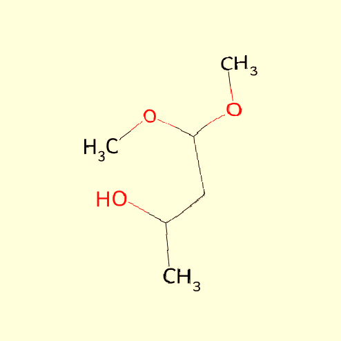 COC(CC(C)O)OC